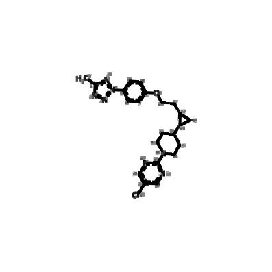 Cc1nnn(-c2ccc(OCC[C@H]3C[C@H]3C3CCN(c4ncc(Cl)cn4)CC3)cc2)n1